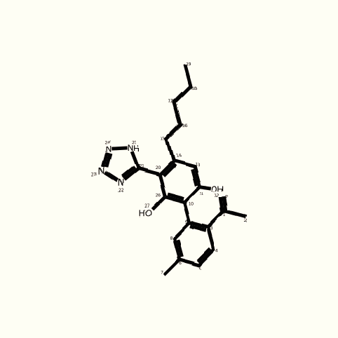 C=C(C)c1ccc(C)cc1-c1c(O)cc(CCCCC)c(-c2nnn[nH]2)c1O